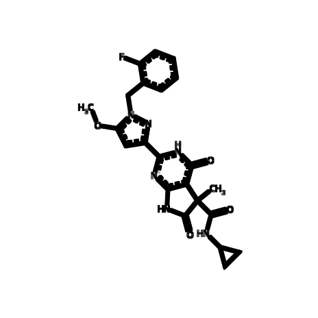 COc1cc(-c2nc3c(c(=O)[nH]2)C(C)(C(=O)NC2CC2)C(=O)N3)nn1Cc1ccccc1F